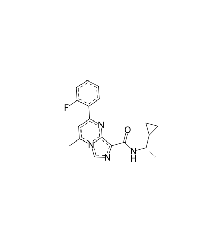 Cc1cc(-c2ccccc2F)nc2c(C(=O)N[C@@H](C)C3CC3)ncn12